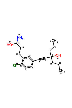 CCCC(O)(C#Cc1ccc(Cl)c(CCC(N)O)c1)CCC